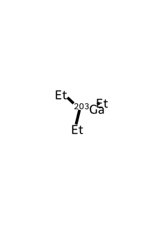 C[CH2][203Ga]([CH2]C)[CH2]C